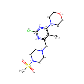 Cc1c(CN2CCN(S(C)(=O)=O)CC2)nc(Cl)nc1N1CCOCC1